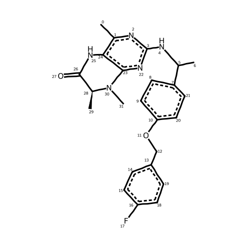 Cc1nc(NC(C)c2ccc(OCc3ccc(F)cc3)cc2)nc2c1NC(=O)[C@H](C)N2C